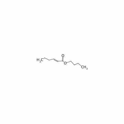 [CH2]CCC=CC(=O)OCCCC